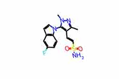 Cc1nn(C)c(-n2ccc3cc(F)ccc32)c1/C=C/S(N)(=O)=O